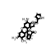 Cc1cc2c(cc1N)Oc1cc(N)c(C)cc1C21c2ccccc2C(=O)N1CCNCc1ccc[nH]1